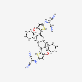 N#CC(C#N)=Nc1cc2c(s1)C1=CC3C=C4C(=CC3C=C1C1(CCCCC1)O2)c1sc(N=C(C#N)C#N)cc1OC41CCCCC1